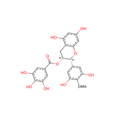 COc1c(O)cc([C@H]2Oc3cc(O)cc(O)c3C[C@H]2OC(=O)c2cc(O)c(O)c(O)c2)cc1O